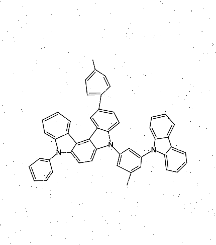 Cc1ccc(-c2ccc3c(c2)c2c4c5ccccc5n(-c5ccccc5)c4ccc2n3-c2cc(C)cc(-n3c4ccccc4c4ccccc43)c2)cc1